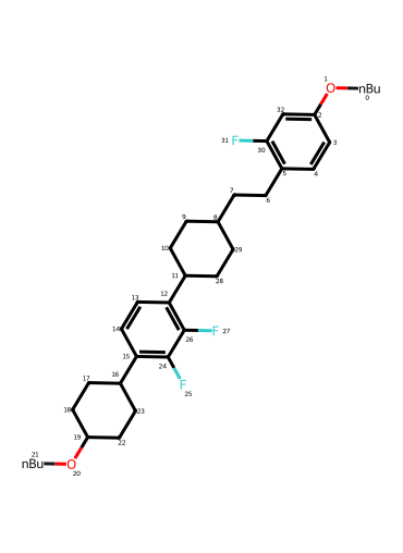 CCCCOc1ccc(CCC2CCC(c3ccc(C4CCC(OCCCC)CC4)c(F)c3F)CC2)c(F)c1